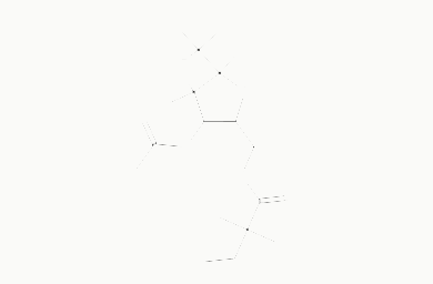 CCC(C)(C)C(=O)OCC1OC(O)(C(F)(F)F)C(F)(F)C1OC(C)=O